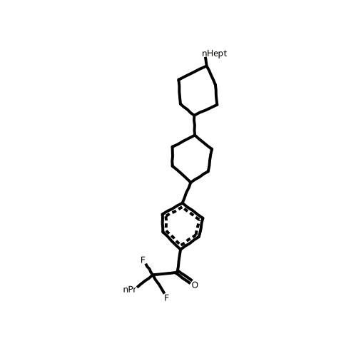 CCCCCCCC1CCC(C2CCC(c3ccc(C(=O)C(F)(F)CCC)cc3)CC2)CC1